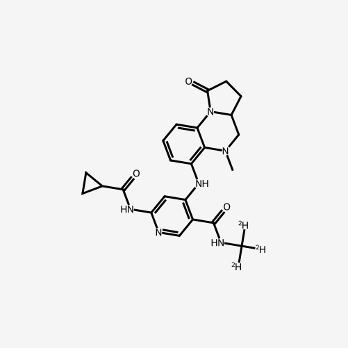 [2H]C([2H])([2H])NC(=O)c1cnc(NC(=O)C2CC2)cc1Nc1cccc2c1N(C)CC1CCC(=O)N21